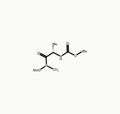 CON(C)C(=O)[C@@H](NC(=O)OC(C)(C)C)C(C)(C)C